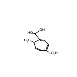 CC1C=CC(C(=O)O)=CC=C1C(O)O